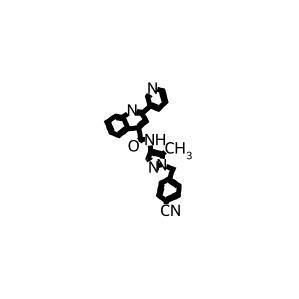 Cc1c(NC(=O)c2cc(-c3cccnc3)nc3ccccc23)cnn1Cc1ccc(C#N)cc1